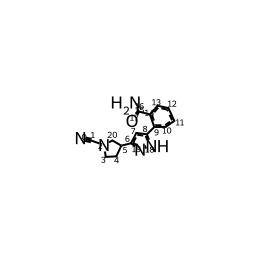 N#CN1CCC(c2cc(-c3ccccc3C(N)=O)[nH]n2)C1